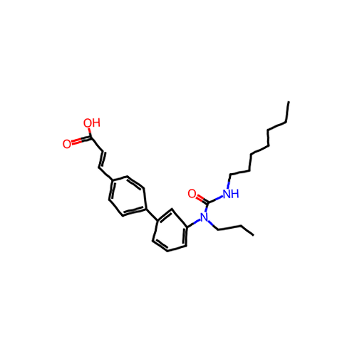 CCCCCCCNC(=O)N(CCC)c1cccc(-c2ccc(C=CC(=O)O)cc2)c1